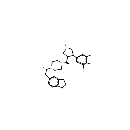 C[C@H]1CN([C@@H](Cc2ccc3c(c2)CCC3)C(=O)O)CCN1C(=O)C1CN(C(C)(C)C)CC1c1cc(F)c(Cl)c(F)c1